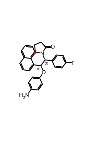 Nc1ccc(O[C@@H](c2cccc3ccccc23)[C@H](c2ccc(F)cc2)N2CCCC2=O)cc1